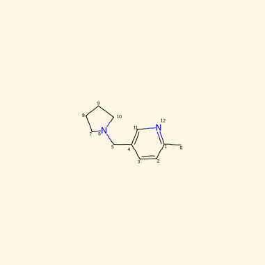 Cc1ccc(CN2CCCC2)cn1